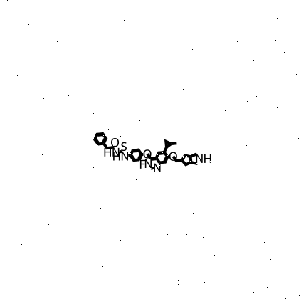 CC1CC1c1cc2c(Oc3ccc(NC(=S)NC(=O)Cc4ccccc4)cc3F)ncnc2cc1OCC1CC2CNCC2C1